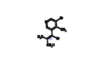 C/C(C(=O)O)=C(/Br)c1cncc(Br)c1C